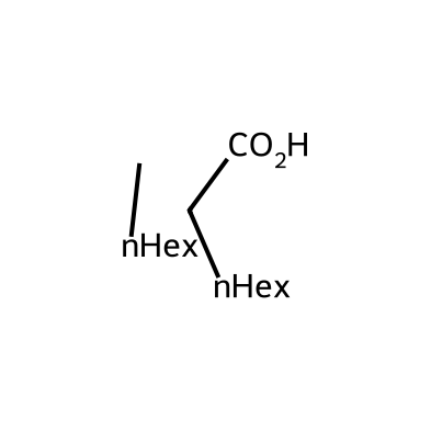 CCCCCCC.CCCCCCCC(=O)O